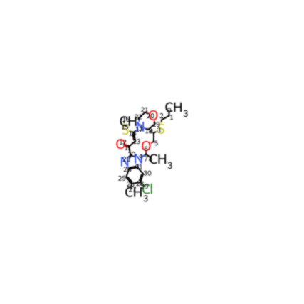 CCCSCCOC(C)n1c(C(=O)/C=C(\SC)N2CCOCC2)nc2cc(C)c(Cl)cc21